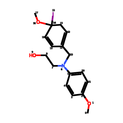 COc1ccc(N(CCO)CC2=CCC(I)(OC)C=C2)cc1